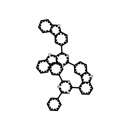 c1ccc(-c2nc(-c3ccccc3)nc(-c3cccc4oc5ccc(-c6nc(-c7ccc8oc9ccccc9c8c7)c7oc8ccccc8c7n6)cc5c34)n2)cc1